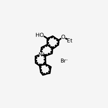 CCOc1cc(O)c2c[n+]3ccc4ccccc4c3cc2c1.[Br-]